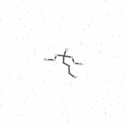 CCC(CCCC(C)C)(OOC(C)(C)C)OOC(C)(C)C